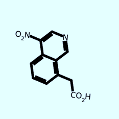 O=C(O)Cc1cccc2c([N+](=O)[O-])cncc12